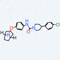 CN1[C@@H]2CC[C@H]1C[C@H](Oc1ccc(NC(=O)N3CCC(c4ccc(Cl)cc4)CC3)cc1)C2